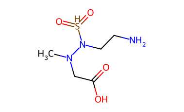 CN(CC(=O)O)N(CCN)[SH](=O)=O